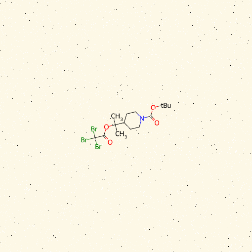 CC(C)(C)OC(=O)N1CCC(C(C)(C)OC(=O)C(Br)(Br)Br)CC1